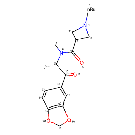 CCCCN1CC(C(=O)N(C)[C@@H](C)C(=O)c2ccc3c(c2)OCO3)C1